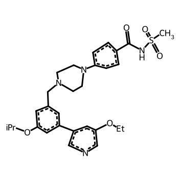 CCOc1cncc(-c2cc(CN3CCN(c4ccc(C(=O)NS(C)(=O)=O)cc4)CC3)cc(OC(C)C)c2)c1